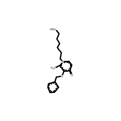 CCCCCCCCCCCCCCCCn1ccc(=O)c(OCc2ccccc2)c1C